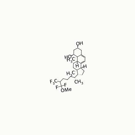 COC(F)(F)C(CCC[C@@H](C)[C@H]1CC[C@H]2C3=CC=C4C[C@H](O)C[C@H](O)[C@]4(C)[C@H]3CC[C@]12C)C(F)(F)F